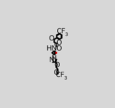 O=C1C[C@H](C(=O)NC23CC(n4cc(OCCOC(F)(F)F)cn4)(C2)C3)Oc2ccc(C(F)(F)F)cc21